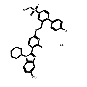 CC(C)NS(=O)(=O)c1ccc(-c2ccc(Cl)cc2)c(COc2ccc(-c3nc4cc(C(=O)O)ccc4n3C3CCCCC3)c(F)c2)c1.Cl